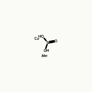 O=[Si](O)O.[Cu].[Mn]